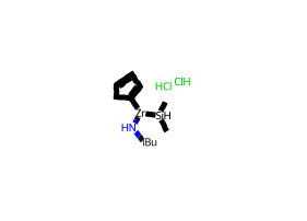 CCC(C)[NH][Zr]([C]1=CC=CC1)[SiH](C)C.Cl.Cl